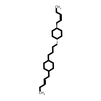 CC/C=C\C[C@H]1CC[C@H](CCCCC2CCC(C/C=C/CC)CC2)CC1